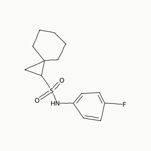 O=S(=O)(Nc1ccc(F)cc1)C1CC12CCCCC2